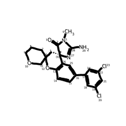 CN1C(=O)[C@@]2(CC3(CCCOC3)Oc3ccc(-c4cc(Cl)cc(Cl)c4)cc32)N=C1N